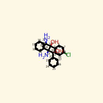 CC(N)C(O)(c1ccc(Cl)cc1)C(N)(c1ccccc1)C(O)c1ccccc1